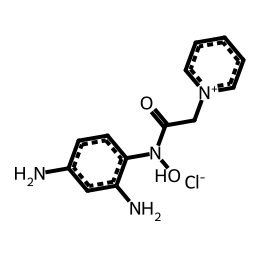 Nc1ccc(N(O)C(=O)C[n+]2ccccc2)c(N)c1.[Cl-]